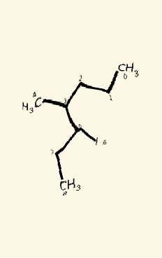 CCCC(C)C(I)CC